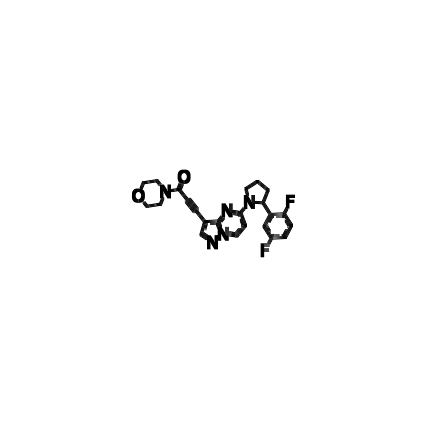 O=C(C#Cc1cnn2ccc(N3CCCC3c3cc(F)ccc3F)nc12)N1CCOCC1